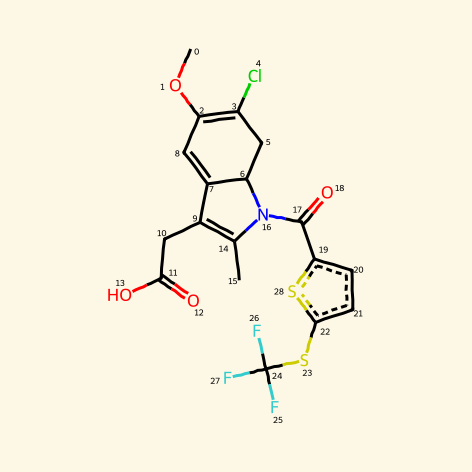 COC1=C(Cl)CC2C(=C1)C(CC(=O)O)=C(C)N2C(=O)c1ccc(SC(F)(F)F)s1